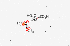 CS(=O)(=O)c1ccc(-c2cc(OCCCCCCc3cccc(OCCCC(=O)O)c3CCC(=O)O)cc(S(C)(=O)=O)c2)cc1